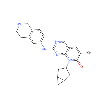 N#Cc1cc2cnc(Nc3ccc4c(c3)CCNC4)nc2n(C2CC3CC3C2)c1=O